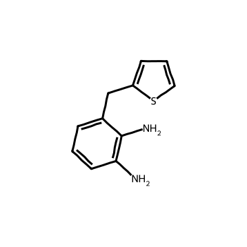 Nc1cccc(Cc2cccs2)c1N